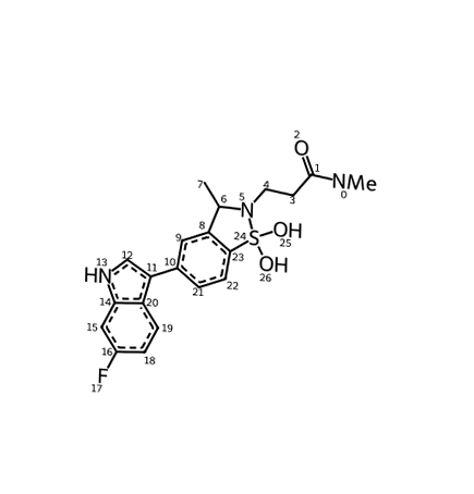 CNC(=O)CCN1C(C)c2cc(-c3c[nH]c4cc(F)ccc34)ccc2S1(O)O